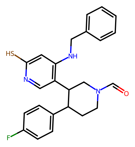 O=CN1CCC(c2ccc(F)cc2)C(c2cnc(S)cc2NCc2ccccc2)C1